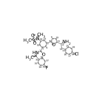 C[C@@H](NC(=O)c1cc(-c2ccc(C(N)Cc3ccc(Cl)cc3)o2)cc(N(C)S(C)(=O)=O)c1)c1ccc(F)cc1